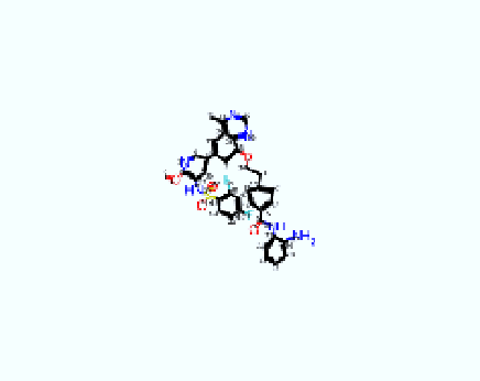 COc1ncc(-c2cc(OCCc3ccc(C(=O)Nc4ccccc4N)cc3)c3ncnc(C)c3c2)cc1NS(=O)(=O)c1ccc(F)cc1F